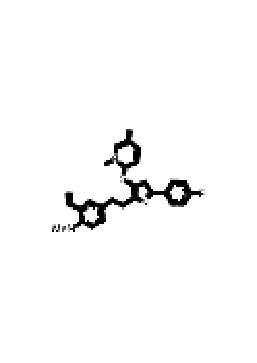 C=Cc1cc(CCC2=C(SC3C=CC(C)=CN3C)CC(c3ccc(F)cc3)=N2)ccc1NC